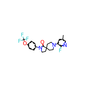 Cc1cnc(F)c(N2CCC3(CC2)CCN(c2ccc(OC(F)(F)F)cc2)C3=O)c1